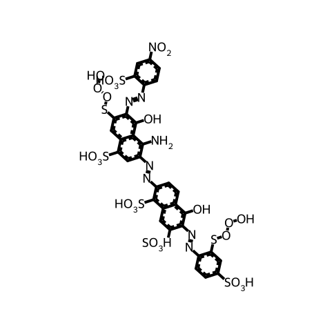 Nc1c(N=Nc2ccc3c(O)c(N=Nc4ccc(S(=O)(=O)O)cc4SOOO)c(S(=O)(=O)O)cc3c2S(=O)(=O)O)cc(S(=O)(=O)O)c2cc(SOOO)c(N=Nc3ccc([N+](=O)[O-])cc3S(=O)(=O)O)c(O)c12